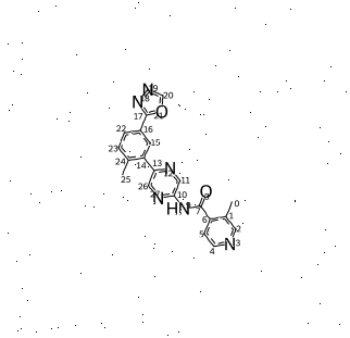 Cc1cnccc1C(=O)Nc1cnc(-c2cc(-c3nnco3)ccc2C)cn1